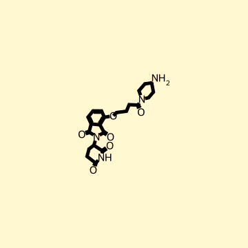 NC1CCN(C(=O)CCCOc2cccc3c2C(=O)N(C2CCC(=O)NC2=O)C3=O)CC1